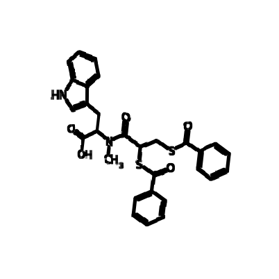 CN(C(=O)C(CSC(=O)c1ccccc1)SC(=O)c1ccccc1)C(Cc1c[nH]c2ccccc12)C(=O)O